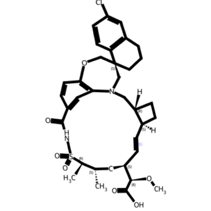 CO[C@@H](C(=O)O)[C@@H]1/C=C/[C@@H]2CC[C@H]2CN2C[C@@]3(CCCc4cc(Cl)ccc43)COc3ccc(cc32)C(=O)NS(=O)(=O)[C@H](C)[C@@H](C)C1